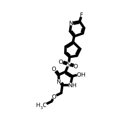 CCOCc1nc(=O)c(S(=O)(=O)c2ccc(-c3ccc(F)nc3)cc2)c(O)[nH]1